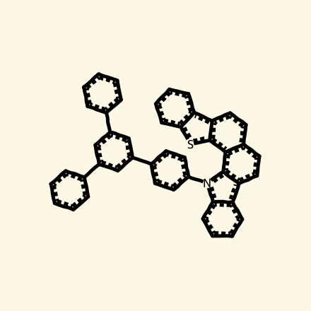 c1ccc(-c2cc(-c3ccccc3)cc(-c3ccc(-n4c5ccccc5c5ccc6ccc7c8ccccc8sc7c6c54)cc3)c2)cc1